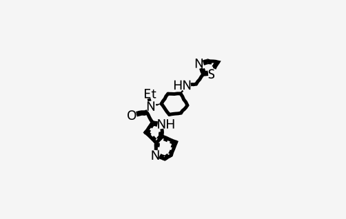 CCN(C(=O)c1cc2ncccc2[nH]1)[C@H]1CCC[C@@H](NCc2nccs2)C1